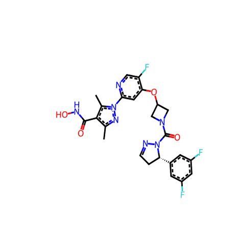 Cc1nn(-c2cc(OC3CN(C(=O)N4N=CC[C@H]4c4cc(F)cc(F)c4)C3)c(F)cn2)c(C)c1C(=O)NO